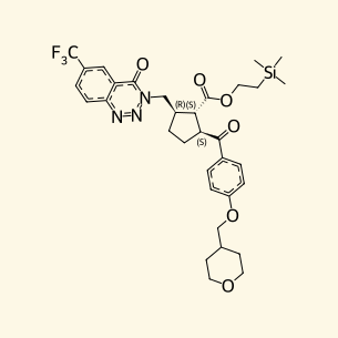 C[Si](C)(C)CCOC(=O)[C@H]1[C@H](Cn2nnc3ccc(C(F)(F)F)cc3c2=O)CC[C@@H]1C(=O)c1ccc(OCC2CCOCC2)cc1